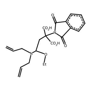 C=CCN(CC=C)C(CC(C(=O)O)(C(=O)O)N1C(=O)c2ccccc2C1=O)OCC